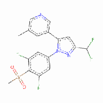 Cc1cncc(-c2cc(C(F)F)nn2-c2cc(F)c(S(C)(=O)=O)c(F)c2)c1